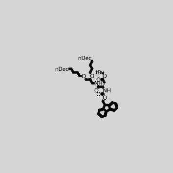 CCCCCCCCCCCCCCOCC(CNC(=O)[C@H](CC(=O)OC(C)(C)C)NC(=O)OCC1c2ccccc2-c2ccccc21)OCCCCCCCCCCCCCC